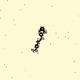 CNC(=O)c1ccc(-c2ncc(CNC(=O)c3ccc4c(c3)NC(=O)c3ccccc3S4(=O)=O)s2)cc1